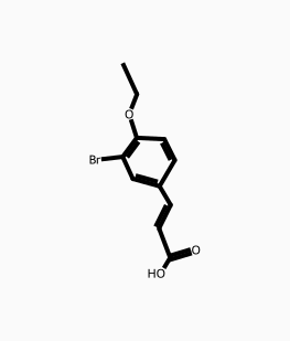 CCOc1ccc(C=CC(=O)O)cc1Br